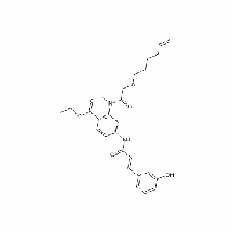 C=CCCCCOCC(=O)N(C)c1cc(NC(=O)/C=C/c2cccc(O)c2)ccc1C(=O)OCC